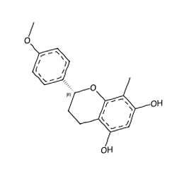 COc1ccc([C@H]2CCc3c(O)cc(O)c(C)c3O2)cc1